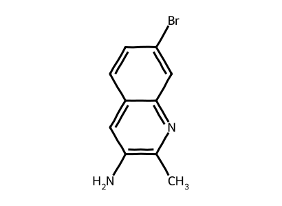 Cc1nc2cc(Br)ccc2cc1N